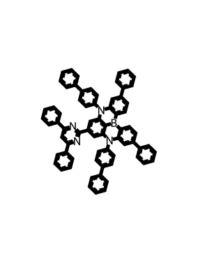 c1ccc(-c2ccc(N3c4cc(-c5ccccc5)ccc4B4c5ccc(-c6ccccc6)cc5N(c5ccc(-c6ccccc6)cc5)c5cc(-c6nc(-c7ccccc7)cc(-c7ccccc7)n6)cc3c54)cc2)cc1